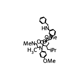 CNC(=O)C(C)N(C(=O)C(CC(C)C)CP(=O)(Cc1cccc(NCc2ccccc2)c1)OC)c1ccc(OC)cc1